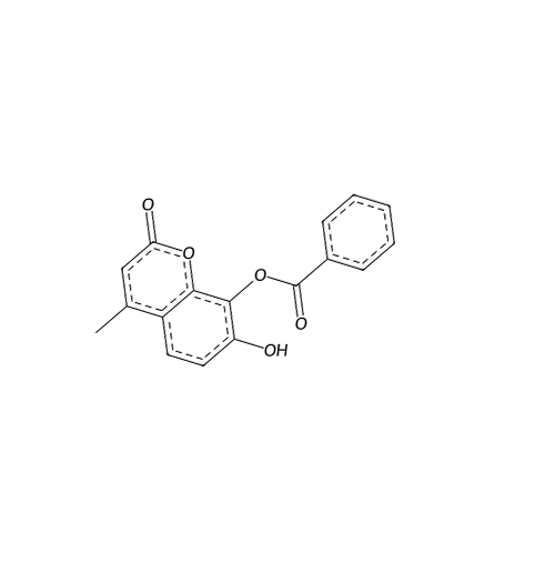 Cc1cc(=O)oc2c(OC(=O)c3ccccc3)c(O)ccc12